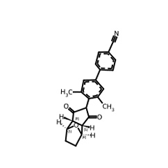 Cc1cc(-c2ccc(C#N)cc2)cc(C)c1C1C(=O)[C@@H]2[C@H](C1=O)[C@H]1CC[C@@H]2O1